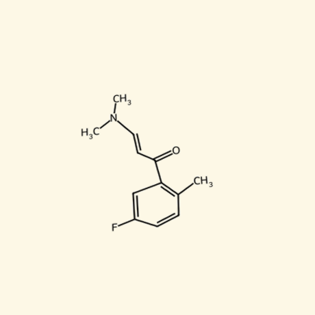 Cc1ccc(F)cc1C(=O)/C=C/N(C)C